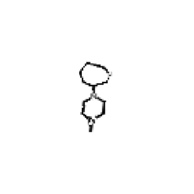 CN1CCN(C2CCCC[N]C2)CC1